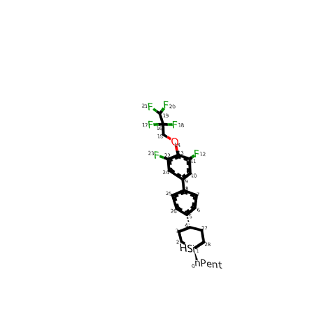 CCCCC[Si@H]1CC[C@H](c2ccc(-c3cc(F)c(OCC(F)(F)C(F)F)c(F)c3)cc2)CC1